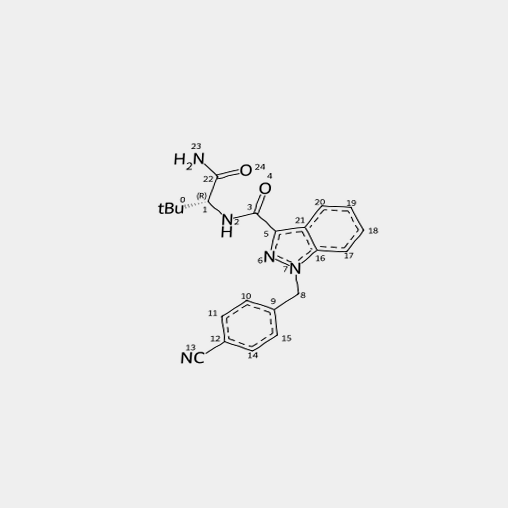 CC(C)(C)[C@@H](NC(=O)c1nn(Cc2ccc(C#N)cc2)c2ccccc12)C(N)=O